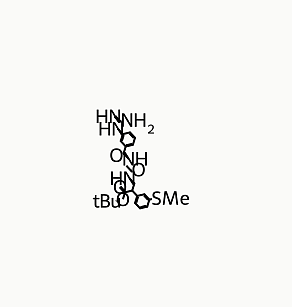 CSc1cccc(C(CNC(=O)CNC(=O)c2cccc(NC(=N)N)c2)C(=O)OC(C)(C)C)c1